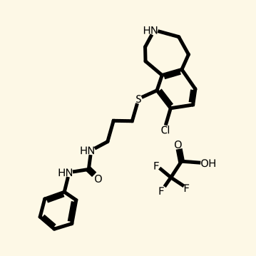 O=C(NCCCSc1c(Cl)ccc2c1CCNCC2)Nc1ccccc1.O=C(O)C(F)(F)F